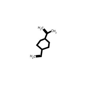 C=CC1CCC(C(=C)C)CC1